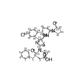 O=C(O)C[C@@H](Cc1ccccc1)C(=O)N(c1nc(-c2cc(Cl)ccc2-c2ccc(N3CCCC3=O)nc2)c(F)s1)C1CC1